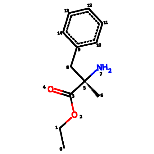 CCOC(=O)[C@](C)(N)Cc1ccccc1